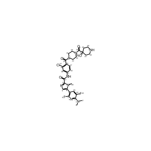 CN(C)c1nc(F)c(-c2cnc(C(=O)Nc3ccc(C(=O)N4CCN(C(=O)C5(O)CCNCC5)CC4)c(Cl)c3)n2C)cc1F